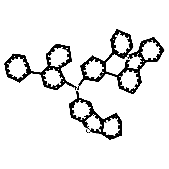 c1ccc(-c2ccc(N(c3ccc4oc5ccccc5c4c3)c3ccc(-c4ccccc4)c4ccccc34)cc2-c2cccc3c2sc2ccccc23)cc1